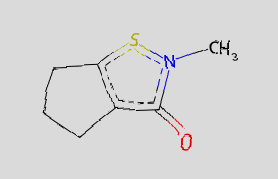 Cn1sc2c(c1=O)CCC2